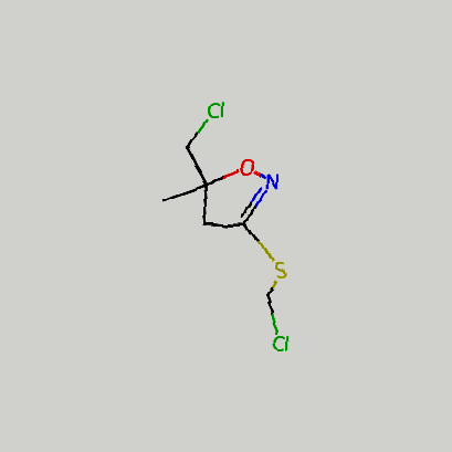 CC1(CCl)CC(SCCl)=NO1